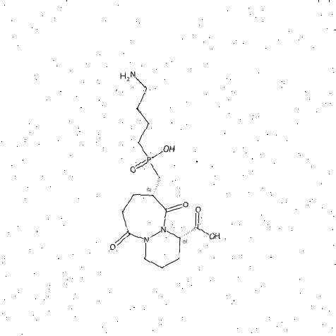 NCCCCP(=O)(O)C[C@H]1CCC(=O)N2CCC[C@@H](C(=O)O)N2C1=O